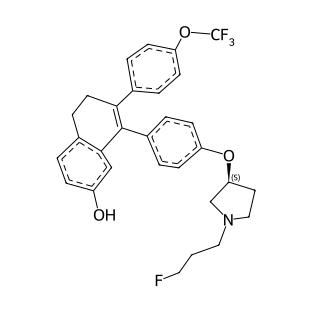 Oc1ccc2c(c1)C(c1ccc(O[C@H]3CCN(CCCF)C3)cc1)=C(c1ccc(OC(F)(F)F)cc1)CC2